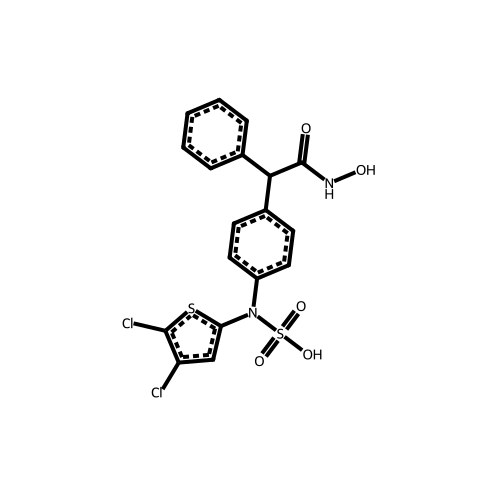 O=C(NO)C(c1ccccc1)c1ccc(N(c2cc(Cl)c(Cl)s2)S(=O)(=O)O)cc1